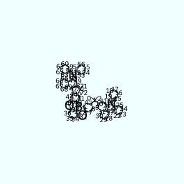 CC1(C)c2cc3c(cc2-c2c1cc(N(c1ccccc1)c1ccccc1)c1ccccc21)Oc1cccc2c1B3c1cc3c(cc1O2)-c1c(cc(N(c2ccccc2)c2ccccc2)c2ccccc12)C3(C)C